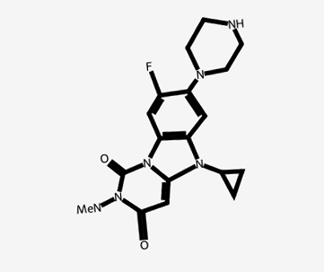 CNn1c(=O)cc2n(C3CC3)c3cc(N4CCNCC4)c(F)cc3n2c1=O